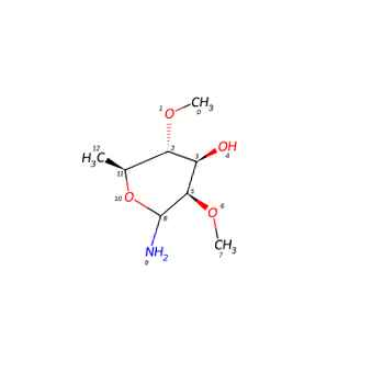 CO[C@@H]1[C@@H](O)[C@@H](OC)C(N)O[C@H]1C